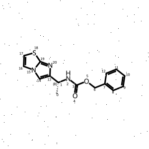 C[C@@H](NC(=O)OCc1ccccc1)c1cn2ccsc2n1